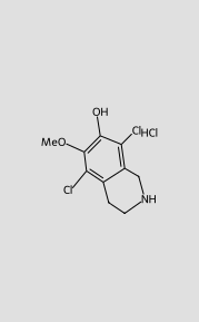 COc1c(O)c(Cl)c2c(c1Cl)CCNC2.Cl